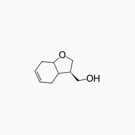 OC[C@@H]1COC2CC=CCC21